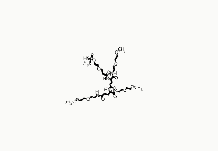 COCCOCCNC(=O)CCC(NC(=O)CCC(NC(=O)CCOCCOP(C)(=O)S)C(=O)NCCOCCOC)C(=O)NCCOCCOC